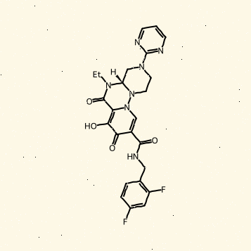 CCN1C(=O)c2c(O)c(=O)c(C(=O)NCc3ccc(F)cc3F)cn2N2CCN(c3ncccn3)C[C@@H]12